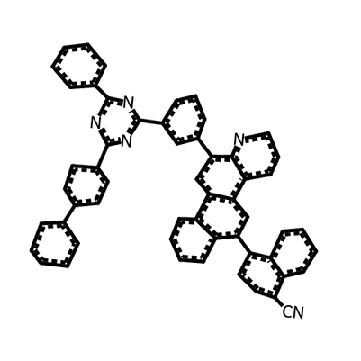 N#Cc1ccc(-c2cc3c4cccnc4c(-c4cccc(-c5nc(-c6ccccc6)nc(-c6ccc(-c7ccccc7)cc6)n5)c4)cc3c3ccccc23)c2ccccc12